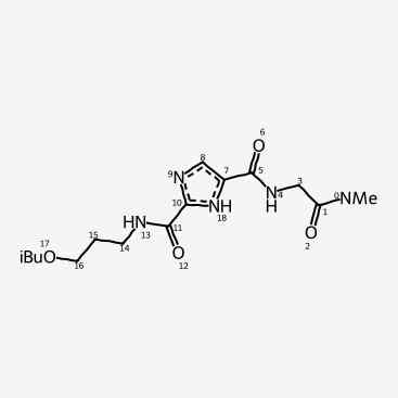 CNC(=O)CNC(=O)c1cnc(C(=O)NCCCOCC(C)C)[nH]1